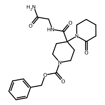 NC(=O)CNC(=O)C1(N2CCCCC2=O)CCN(C(=O)OCc2ccccc2)CC1